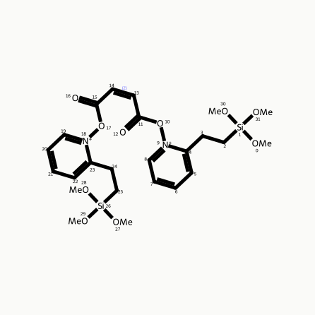 CO[Si](CCc1cccc[n+]1OC(=O)/C=C\C(=O)O[n+]1ccccc1CC[Si](OC)(OC)OC)(OC)OC